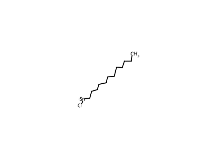 CCCCCCCCCCC[CH2][Sn][Cl]